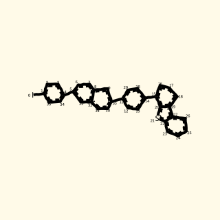 Ic1ccc(-c2ccc3cc(-c4ccc(-c5cccc6c5sc5ccccc56)cc4)ccc3c2)cc1